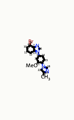 COc1cc(-n2cnc3c(Br)cccc32)ccc1-n1cnc(C)c1